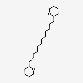 C(CCCCCC1CCCCO1)CCCCSCC1CCCCO1